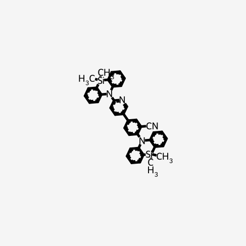 C[Si]1(C)c2ccccc2N(c2ccc(-c3ccc(N4c5ccccc5[Si](C)(C)c5ccccc54)c(C#N)c3)cn2)c2ccccc21